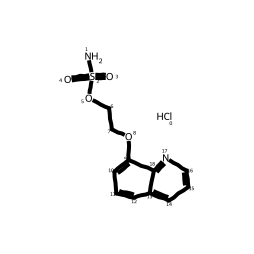 Cl.NS(=O)(=O)OCCOc1cccc2cccnc12